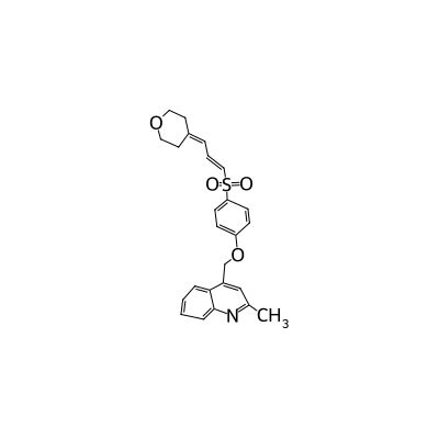 Cc1cc(COc2ccc(S(=O)(=O)C=CC=C3CCOCC3)cc2)c2ccccc2n1